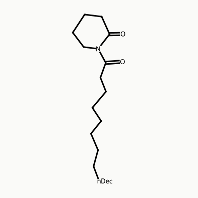 CCCCCCCCCCCCCCCCCC(=O)N1CCCCC1=O